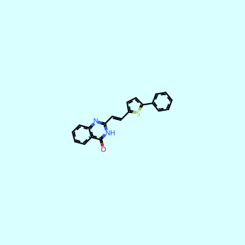 O=c1[nH]c(C=Cc2ccc(-c3ccccc3)s2)nc2ccccc12